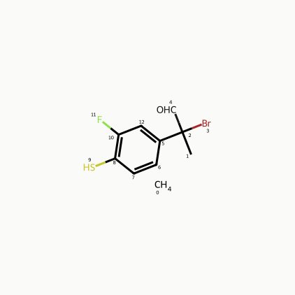 C.CC(Br)(C=O)c1ccc(S)c(F)c1